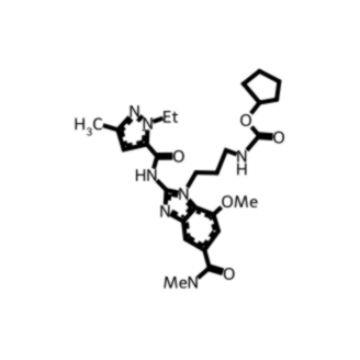 CCn1nc(C)cc1C(=O)Nc1nc2cc(C(=O)NC)cc(OC)c2n1CCCNC(=O)OC1CCCC1